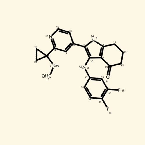 O=CNC1(c2cc(-c3[nH]c4c(c3Nc3ccc(F)c(F)c3)C(=O)CCC4)ccn2)CC1